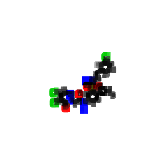 Cc1ccc(NC(=O)Cn2ncc(Cl)c(Cl)c2=O)cc1S(=O)(=O)NCCc1cccc(Cl)c1